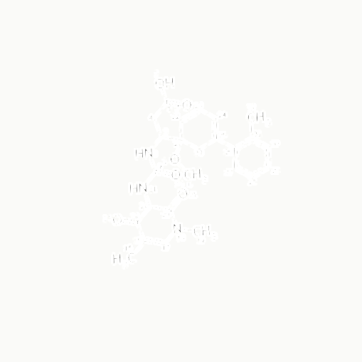 COC1(C(CC(=O)O)NC(=O)NC2C(=O)C(C)=CN(C)C2=O)C=CC=C(c2ccccc2C)C1